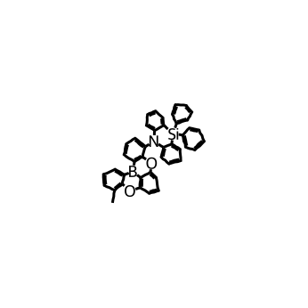 Cc1cccc2c1Oc1cccc3c1B2c1cccc(N2c4ccccc4[Si](c4ccccc4)(c4ccccc4)c4ccccc42)c1O3